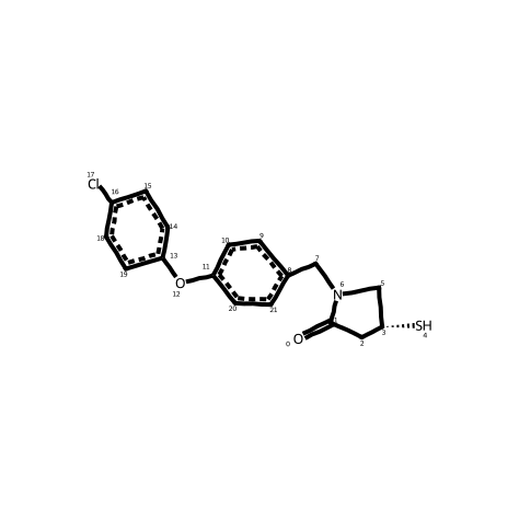 O=C1C[C@@H](S)CN1Cc1ccc(Oc2ccc(Cl)cc2)cc1